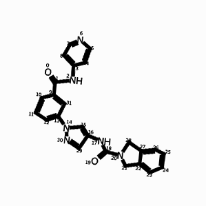 O=C(Nc1ccncc1)c1cccc(-n2cc(NC(=O)N3Cc4ccccc4C3)cn2)c1